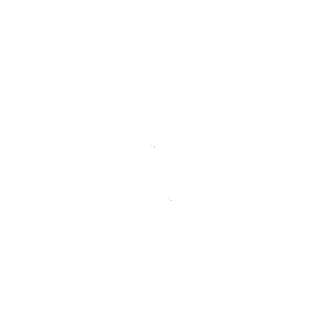 Cc1c(O)c(C(N)=O)c(=O)n(C2CCCCC2)c1C